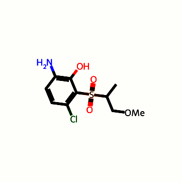 COCC(C)S(=O)(=O)c1c(Cl)ccc(N)c1O